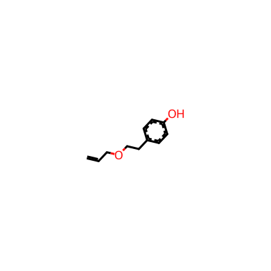 C=CCOCCc1ccc(O)cc1